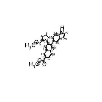 COC[C@H]1CCCN1c1nc2cc(C(=O)OC)ccc2nc1-c1ccc2[nH]ccc2c1